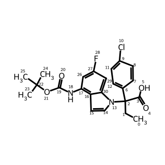 CCC(C(=O)O)(c1ccc(Cl)cc1)n1ccc2c(NC(=O)OC(C)(C)C)cc(F)cc21